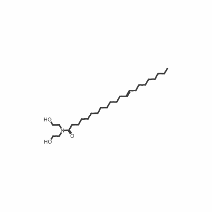 CCCCCCCCC=CCCCCCCCCCCCC(=O)N(CCO)CCO